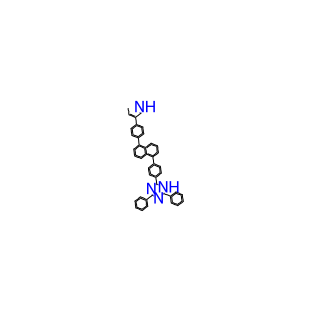 C/C=C(\C=N)c1ccc(-c2cccc3c(-c4ccc(C5N=C(c6ccccc6)N=C(c6ccccc6)N5)cc4)cccc23)cc1